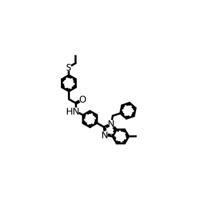 CCSc1ccc(CC(=O)Nc2ccc(-c3nc4ccc(C)cc4n3Cc3ccccc3)cc2)cc1